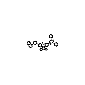 c1ccc(-c2cc(-c3ccc4c(c3)Oc3cc(-c5cccc(-c6cccc7cccnc67)c5)ccc3C43c4ccccc4-c4ccccc43)nc(-c3ccccc3)n2)cc1